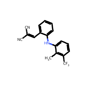 Cc1c(Nc2ccccc2C=C(C#N)C#N)cccc1C(F)(F)F